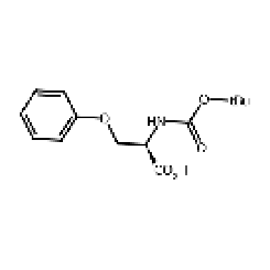 CC(C)(C)OC(=O)N[C@H](COc1ccccc1)C(=O)O